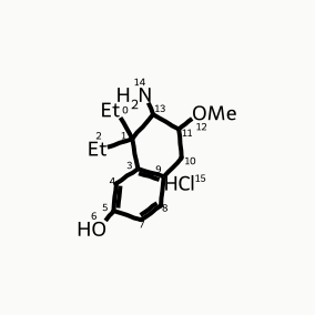 CCC1(CC)c2cc(O)ccc2CC(OC)C1N.Cl